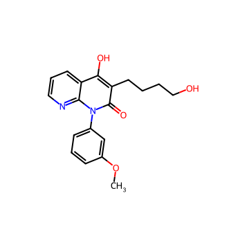 COc1cccc(-n2c(=O)c(CCCCO)c(O)c3cccnc32)c1